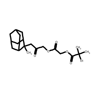 CCC(C)(C)C(=O)OCC(=O)OCC(=O)CC1(C)C2CC3CC(C2)CC1C3